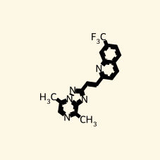 Cc1ncc(C)n2nc(C=Cc3ccc4ccc(C(F)(F)F)cc4n3)nc12